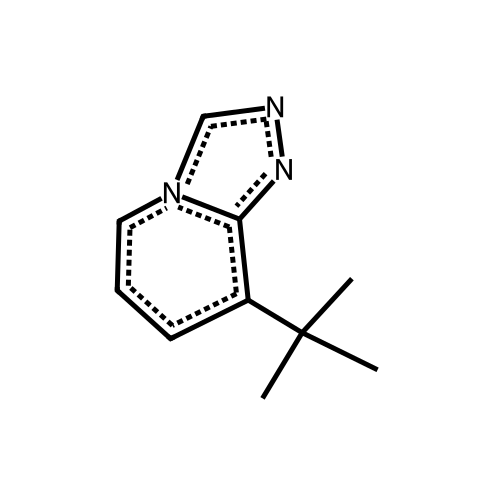 CC(C)(C)c1cccn2cnnc12